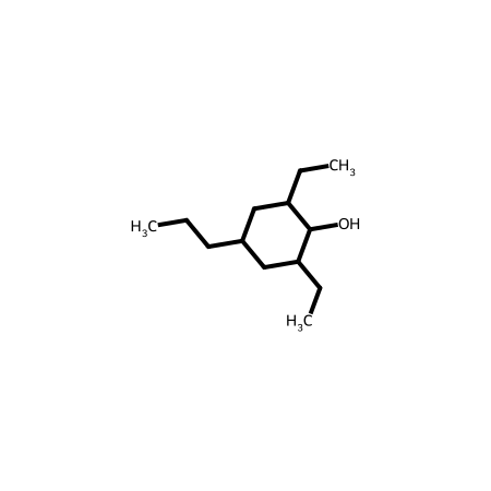 CCCC1CC(CC)C(O)C(CC)C1